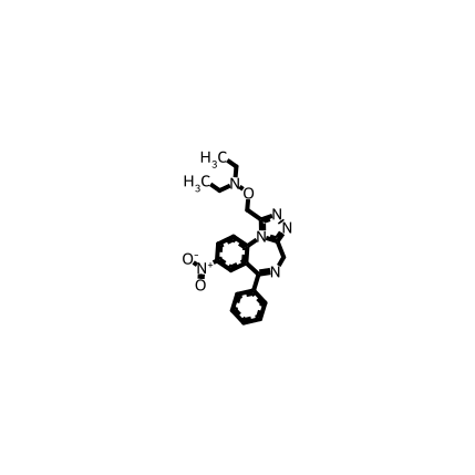 CCN(CC)OCc1nnc2n1-c1ccc([N+](=O)[O-])cc1C(c1ccccc1)=NC2